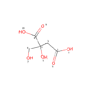 O=C(O)CC(O)(CO)C(=O)O